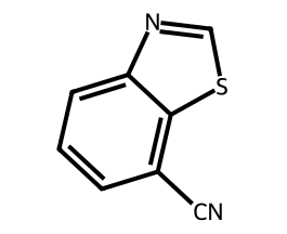 N#Cc1cccc2ncsc12